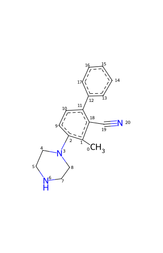 Cc1c(N2CCNCC2)ccc(-c2ccccc2)c1C#N